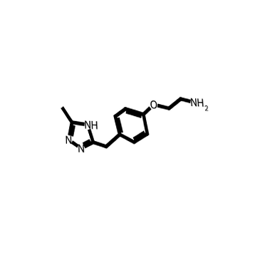 Cc1nnc(Cc2ccc(OCCN)cc2)[nH]1